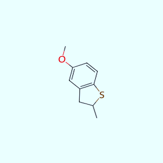 COc1ccc2c(c1)CC(C)S2